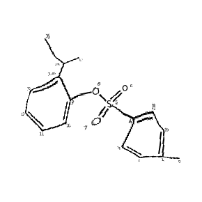 Cc1ccc(S(=O)(=O)Oc2ccccc2C(C)C)cc1